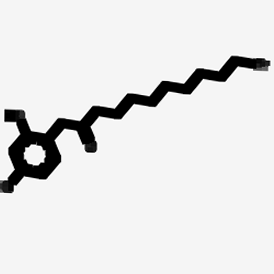 CC(C)CCCCCCCCCC(=O)Cc1ccc(O)cc1O